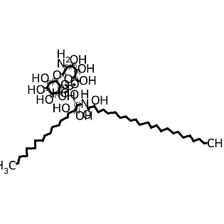 CCCCCCCCCCCCCCCCCCCCCCC(O)C(=O)N[C@@H](COP(=O)(O)O[C@H]1[C@H](O)[C@@H](O)[C@H](O)[C@@H](O)[C@H]1O[C@H]1O[C@H](CO)[C@@H](O)[C@H](O)[C@H]1N)[C@H](O)C(O)CCCCCCCCCCCCCC